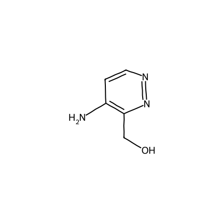 Nc1ccnnc1CO